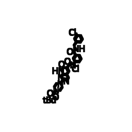 CC(C)(C)OC(=O)N1CCN(c2ncc3cc(C(=O)N(Cl)c4cccc(C(=O)NCc5cccc(Cl)c5)c4)c(=O)[nH]c3n2)CC1